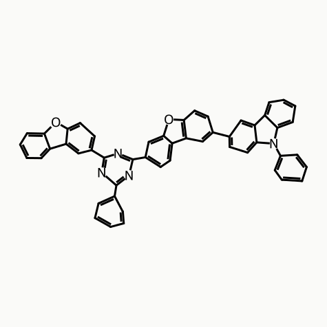 c1ccc(-c2nc(-c3ccc4c(c3)oc3ccc(-c5ccc6c(c5)c5ccccc5n6-c5ccccc5)cc34)nc(-c3ccc4oc5ccccc5c4c3)n2)cc1